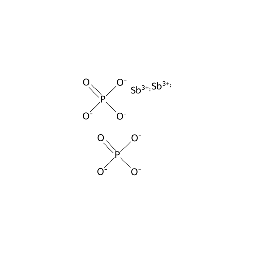 O=P([O-])([O-])[O-].O=P([O-])([O-])[O-].[Sb+3].[Sb+3]